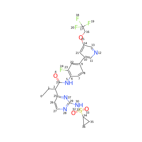 CCC(C(=O)Nc1ccc(-c2cncc(OCC(F)(F)F)c2)cc1F)c1ccnc(NS(=O)(=O)C2CC2)n1